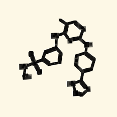 Cc1cnc(Nc2ccc(-c3ncn[nH]3)cc2)nc1Nc1cccc(S(=O)(=O)NC(C)(C)C)c1